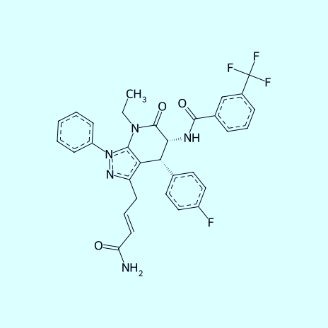 CCN1C(=O)[C@H](NC(=O)c2cccc(C(F)(F)F)c2)[C@H](c2ccc(F)cc2)c2c(C/C=C/C(N)=O)nn(-c3ccccc3)c21